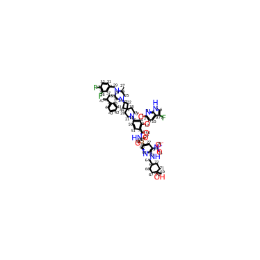 COc1nc2[nH]cc(F)c2cc1Oc1cc(N2CCC3(CC2)CC(N2C[C@H](C)N(Cc4ccc(F)c(F)c4)C[C@H]2c2ccccc2C(C)C)C3)ccc1C(=O)NS(=O)(=O)c1cnc(NCC2CCC(C)(O)CC2)c([N+](=O)[O-])c1